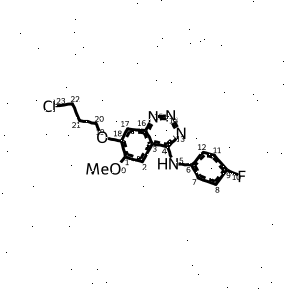 COc1cc2c(Nc3ccc(F)cc3)nnnc2cc1OCCCCl